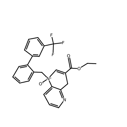 CCOC(=O)C1=C[N+]([O-])(Cc2ccccc2-c2cccc(C(F)(F)F)c2)c2cccnc2C1